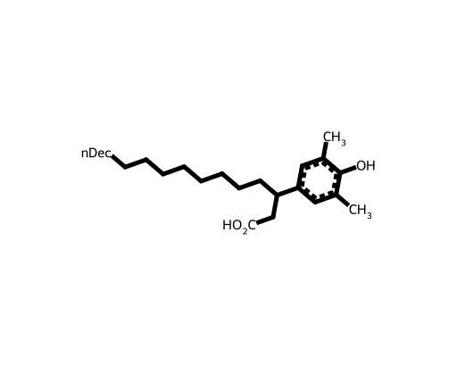 CCCCCCCCCCCCCCCCCCC(CC(=O)O)c1cc(C)c(O)c(C)c1